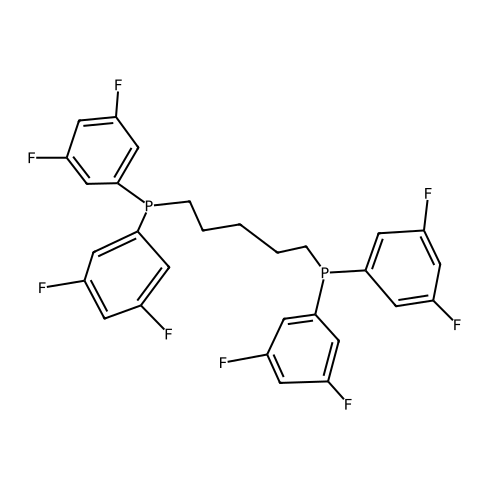 Fc1cc(F)cc(P(CCCCCP(c2cc(F)cc(F)c2)c2cc(F)cc(F)c2)c2cc(F)cc(F)c2)c1